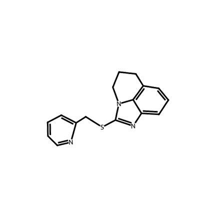 c1ccc(CSc2nc3cccc4c3n2CCC4)nc1